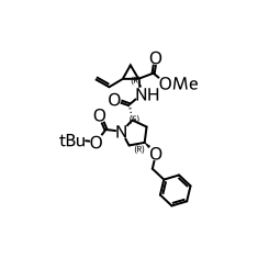 C=CC1C[C@]1(NC(=O)[C@@H]1C[C@@H](OCc2ccccc2)CN1C(=O)OC(C)(C)C)C(=O)OC